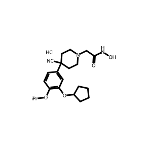 CC(C)Oc1ccc(C2(C#N)CCN(CC(=O)NO)CC2)cc1OC1CCCC1.Cl